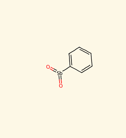 [O]=[Sb](=[O])[c]1ccccc1